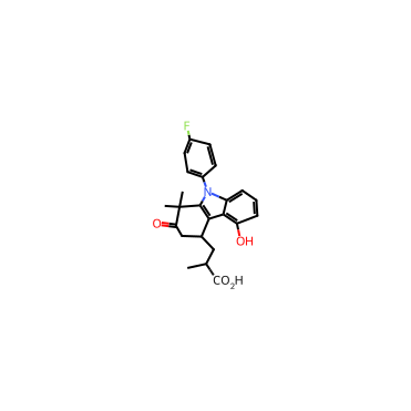 CC(CC1CC(=O)C(C)(C)c2c1c1c(O)cccc1n2-c1ccc(F)cc1)C(=O)O